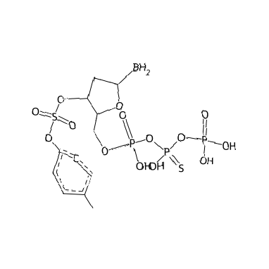 BC1CC(OS(=O)(=O)Oc2ccc(C)cc2)C(COP(=O)(O)OP(O)(=S)OP(=O)(O)O)O1